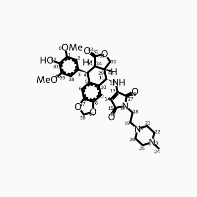 COc1cc([C@@H]2c3cc4c(cc3[C@@H](NC3=CC(=O)N(CCN5CCN(C)CC5)C3=O)[C@H]3COC(=O)[C@H]23)OCO4)cc(OC)c1O